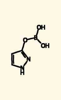 OB(O)Oc1cc[nH]n1